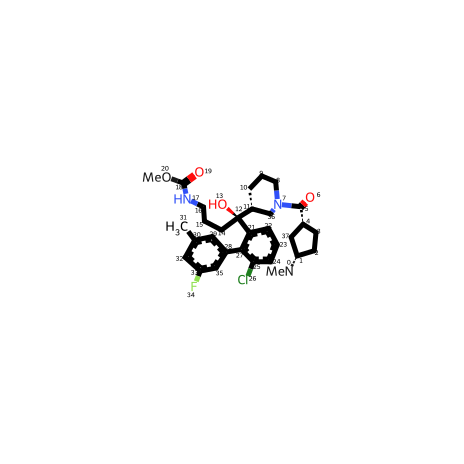 CN[C@H]1CC[C@@H](C(=O)N2CCC[C@@H]([C@@](O)(CCCNC(=O)OC)c3cccc(Cl)c3-c3cc(C)cc(F)c3)C2)C1